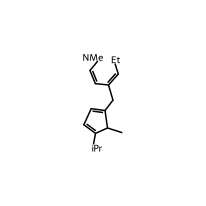 CC/C=C(\C=C/NC)CC1=CC=C(C(C)C)C1C